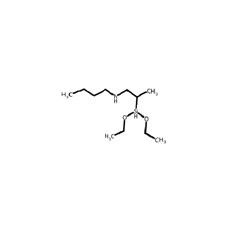 CCCCNCC(C)[SiH](OCC)OCC